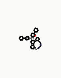 CC1CCC2=C(C1)c1cc(N(c3ccc(C4=CC=CCC4)cc3)c3ccc(-c4ccccc4)cc3)ccc1-c1ccccc1C/C=C\C=C/C2